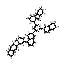 C1=CC2Oc3cc4ccccc4cc3C2C=C1c1cccc2cc(-c3nc(-c4ccc5ccccc5c4)nc(-c4cccc5c4oc4ccccc45)n3)ccc12